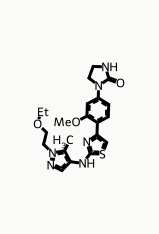 CCOCCn1ncc(Nc2nc(-c3ccc(N4CCNC4=O)cc3OC)cs2)c1C